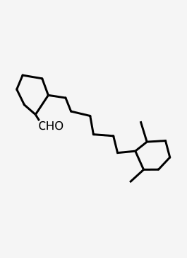 CC1CCCC(C)C1CCCCCCC1CCCCC1C=O